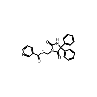 O=C(SCN1C(=O)NC(c2ccccc2)(c2ccccc2)C1=O)c1cccnc1